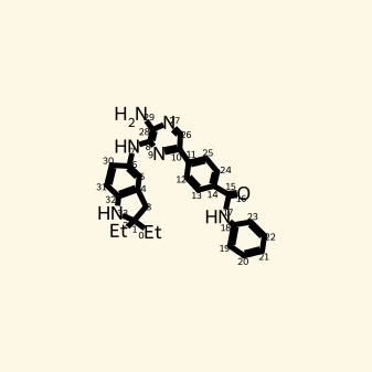 CCC1(CC)Cc2cc(Nc3nc(-c4ccc(C(=O)Nc5ccccc5)cc4)cnc3N)ccc2N1